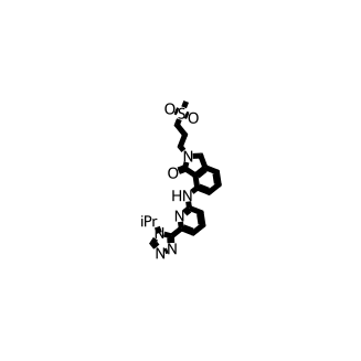 CC(C)n1cnnc1-c1cccc(Nc2cccc3c2C(=O)N(CCCS(C)(=O)=O)C3)n1